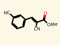 COC(=O)/C(C#N)=C/c1cccc(C#N)c1